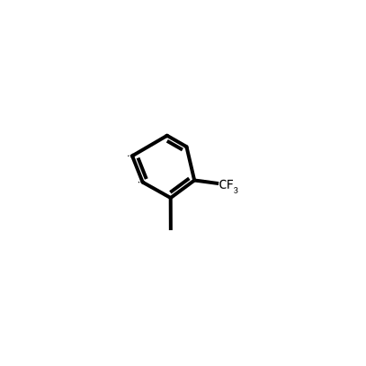 Cc1[c][c]ccc1C(F)(F)F